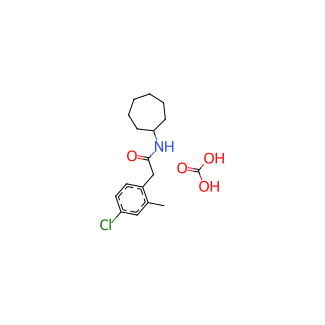 Cc1cc(Cl)ccc1CC(=O)NC1CCCCCC1.O=C(O)O